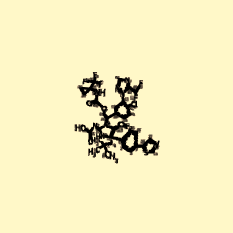 CC(C)(C)C[C@]1(c2ccc(-c3cncs3)cc2F)NC(=NC(=O)O)N(C(COC(=O)NC2(C(F)(F)F)CC2)c2ccc(Cl)c(-n3ncnc3C(F)F)c2)C1=O